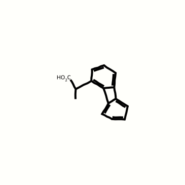 CC(C(=O)O)c1cccc2c1-c1ccccc1-2